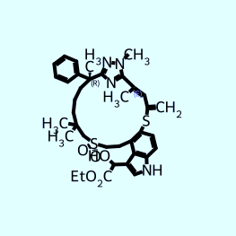 C=C1/C=C(\C)c2nc(nn2C)[C@@](C)(c2ccccc2)CCCC(C)(C)CS(=O)(=O)CCc2c(ccc3[nH]cc(C(O)C(=O)OCC)c23)S1